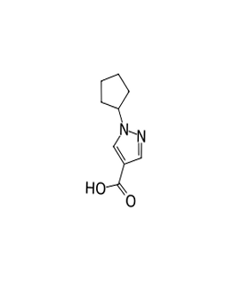 O=C(O)c1cnn(C2CCCC2)c1